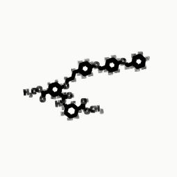 COC(=O)c1ccc(OCCCc2ccc(OCc3ccc(OCc4ccccc4)cc3)cc2)c(C(=O)NC2CCCC(C(=O)OC)C2)c1